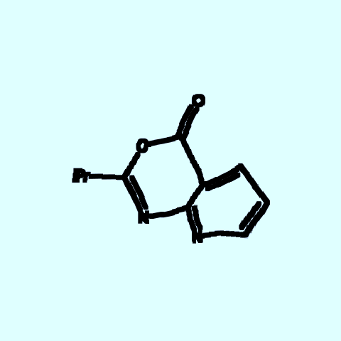 CC(C)c1nc2ncccc2c(=O)o1